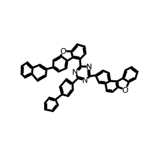 c1ccc(-c2ccc(-c3nc(-c4ccc5c(ccc6oc7ccccc7c65)c4)nc(-c4cccc5oc6cc(-c7ccc8ccccc8c7)ccc6c45)n3)cc2)cc1